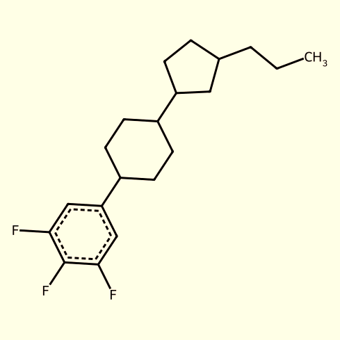 CCCC1CCC(C2CCC(c3cc(F)c(F)c(F)c3)CC2)C1